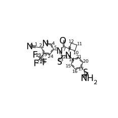 N#Cc1ncc(N2C(=O)C3(CCC3)N(c3ccc(SN)cc3)C2=S)cc1C(F)(F)F